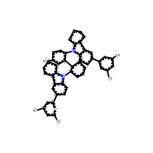 N#Cc1cc(C#N)cc(-c2ccc3c(c2)c2ccccc2n3-c2ccc(C#N)cc2-c2c(-n3c4ccccc4c4cc(-c5cc(C#N)cc(C#N)c5)ccc43)cccc2C(F)(F)F)c1